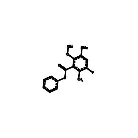 CCCCOc1c(NC)cc(F)c(C)c1C(=O)Oc1ccccc1